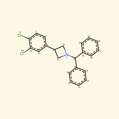 Clc1ccc(C2CN(C(c3ccccc3)c3ccccc3)C2)cc1Cl